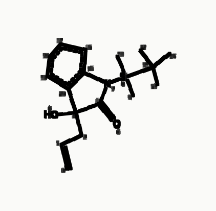 C=CCC1(O)C(=O)N([Si](C)(C)C(C)(C)C)c2ccccc21